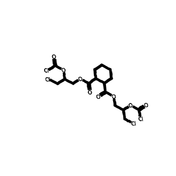 O=C(Cl)OC(CCl)COC(=O)C1CCCCC1C(=O)OCC(CCl)OC(=O)Cl